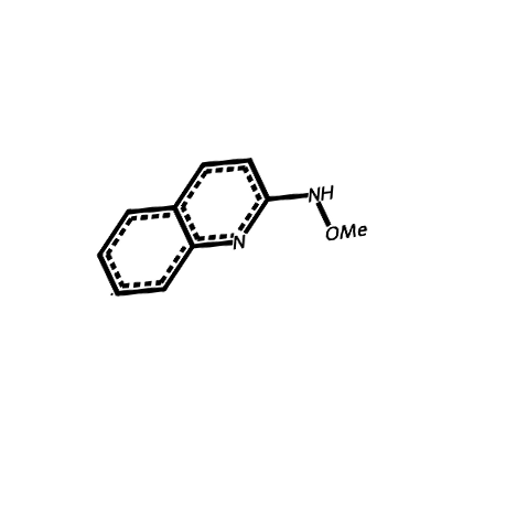 CONc1ccc2cc[c]cc2n1